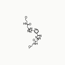 COCCNC(=O)Cn1nnc(-c2ccnc(-c3nnn(CC(=O)NCCOC)n3)c2)n1